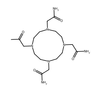 CC(=O)CN1CCN(CC(N)=O)CCN(CC(N)=O)CCN(CC(N)=O)CC1